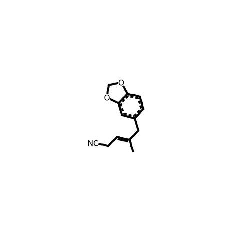 CC(=CCC#N)Cc1ccc2c(c1)OCO2